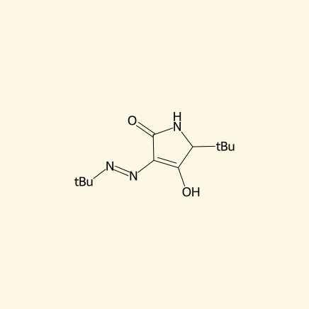 CC(C)(C)/N=N/C1=C(O)C(C(C)(C)C)NC1=O